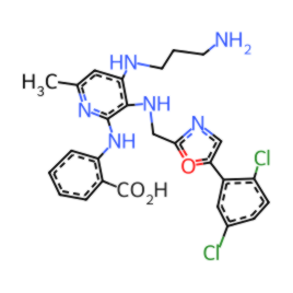 Cc1cc(NCCCN)c(NCc2ncc(-c3cc(Cl)ccc3Cl)o2)c(Nc2ccccc2C(=O)O)n1